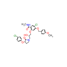 CNC(=O)c1cc(Cl)c(OCc2ccc(OC)cc2)cc1OC[C@@H](O)CN1CCC(Oc2ccc(Cl)cc2)C1=O